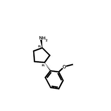 COc1ccccc1[C@@H]1CC[C@@H](N)C1